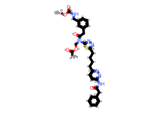 CCCC(=O)OCN(C(=O)Cc1cccc(CNC(=O)OC(C)(C)C)c1)c1nnc(CCCCc2ccc(NC(=O)Cc3ccccc3)nn2)s1